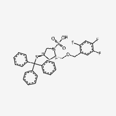 O=S(=O)(O)N1C[C@H](SC(c2ccccc2)(c2ccccc2)c2ccccc2)C[C@H]1COCc1cc(F)c(F)cc1F